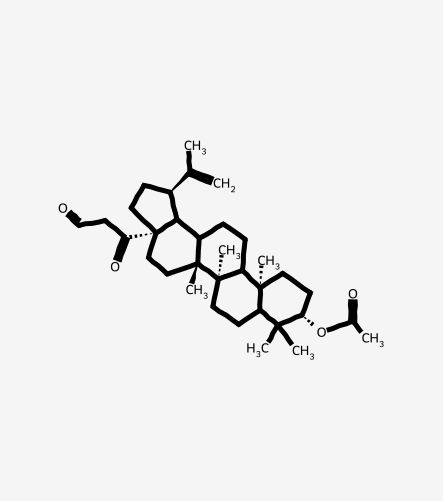 C=C(C)[C@@H]1CC[C@]2(C(=O)CC=O)CC[C@]3(C)C(CCC4[C@@]5(C)CC[C@H](OC(C)=O)C(C)(C)C5CC[C@]43C)C12